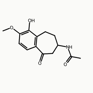 COc1ccc2c(c1O)CCC(NC(C)=O)CC2=O